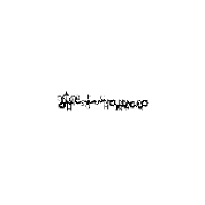 COC(=O)C(CCSCC(=O)NCCOCCC(=O)NCc1ccc(-c2c3ncn(CC4(O)CCN(C(=O)C[C@@H](C)c5ccccc5)CC4)c(=O)c3nn2C)cc1)NC(=O)Nc1cn(CC(C)C)c(=O)c2ccccc12